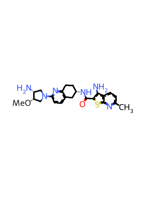 CO[C@H]1CN(c2ccc3c(n2)CC[C@H](NC(=O)c2sc4nc(C)ccc4c2N)C3)C[C@H]1N